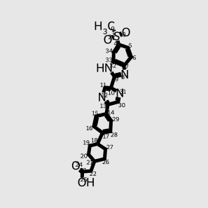 CS(=O)(=O)c1ccc2nc(-c3cnc(-c4ccc(C5CCC(CC(=O)O)CC5)cc4)cn3)[nH]c2c1